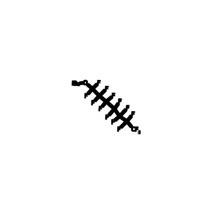 CCC(C)OC(F)(F)C(F)(F)C(F)(F)C(F)(F)C(F)(F)C(F)(F)C(F)(F)F